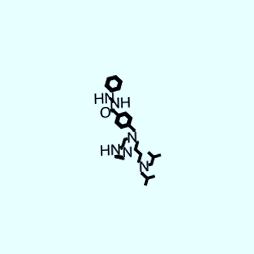 CC(C)CN(CCCCN(Cc1ccc(C(=O)NNc2ccccc2)cc1)Cc1ncc[nH]1)CC(C)C